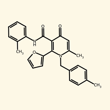 Cc1ccc(Cn2c(C)cc(=O)c(C(=O)Nc3ccccc3C)c2-c2ccco2)cc1